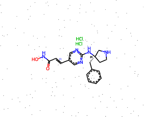 Cl.Cl.O=C(/C=C/c1cnc(N[C@]2(Cc3ccccc3)CCNC2)nc1)NO